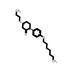 CCCCCCCOc1ccc([C@@H]2CC[C@@H](CCCC)CC2=O)cc1